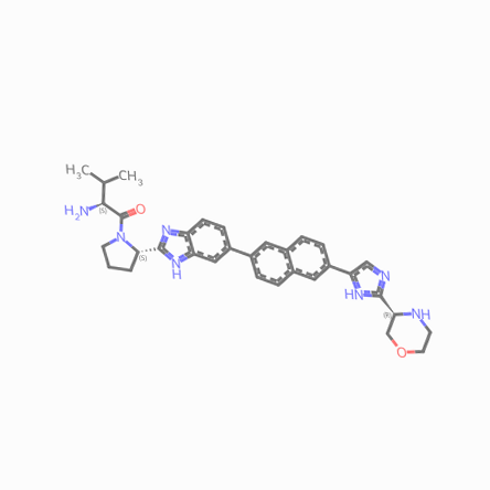 CC(C)[C@H](N)C(=O)N1CCC[C@H]1c1nc2ccc(-c3ccc4cc(-c5cnc([C@@H]6COCCN6)[nH]5)ccc4c3)cc2[nH]1